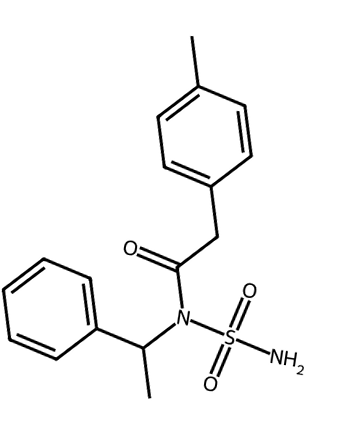 Cc1ccc(CC(=O)N(C(C)c2ccccc2)S(N)(=O)=O)cc1